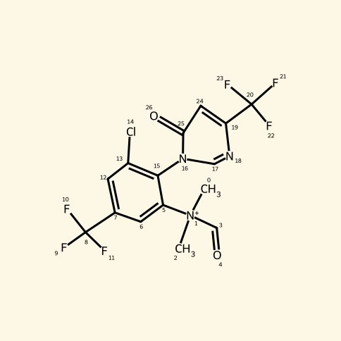 C[N+](C)(C=O)c1cc(C(F)(F)F)cc(Cl)c1-n1cnc(C(F)(F)F)cc1=O